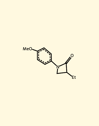 CCC1CN(c2ccc(OC)cc2)C1=O